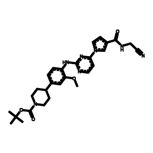 COc1cc(C2CCN(C(=O)OC(C)(C)C)CC2)ccc1Nc1nccc(-n2ccc(C(=O)NCC#N)c2)n1